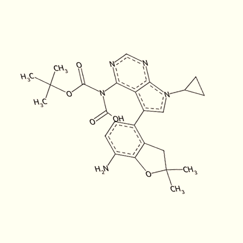 CC(C)(C)OC(=O)N(C(=O)O)c1ncnc2c1c(-c1ccc(N)c3c1CC(C)(C)O3)cn2C1CC1